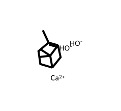 CC1=C2CC(CC1)C2(C)C.[Ca+2].[OH-].[OH-]